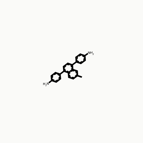 Cc1ccc2c(-c3ccc(N)cc3)ccc(-c3ccc(N)cc3)c2c1